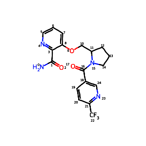 NC(=O)c1ncccc1OCC1CCCN1C(=O)c1ccc(C(F)(F)F)nc1